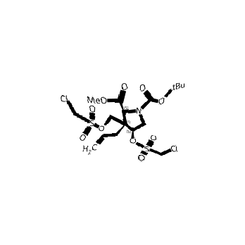 C=CC[C@]1(COS(=O)(=O)CCl)[C@H](OS(=O)(=O)CCl)CN(C(=O)OC(C)(C)C)[C@@H]1C(=O)OC